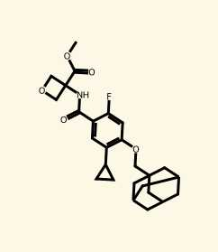 COC(=O)C1(NC(=O)c2cc(C3CC3)c(OCC34CC5CC(CC(C5)C3)C4)cc2F)COC1